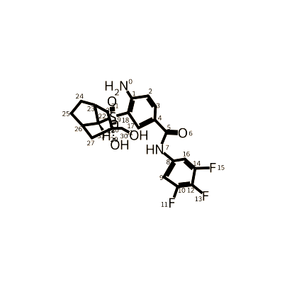 Nc1ccc(C(=O)Nc2cc(F)c(F)c(F)c2)cc1S(=O)(=O)[C@H]1C2CCC1C[C@](O)(CO)C2